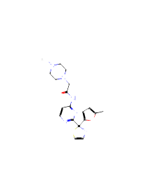 CC(=O)N1CCN(CC(=O)Nc2ccnc(C3(c4ccc(C)o4)NC=CS3)n2)CC1